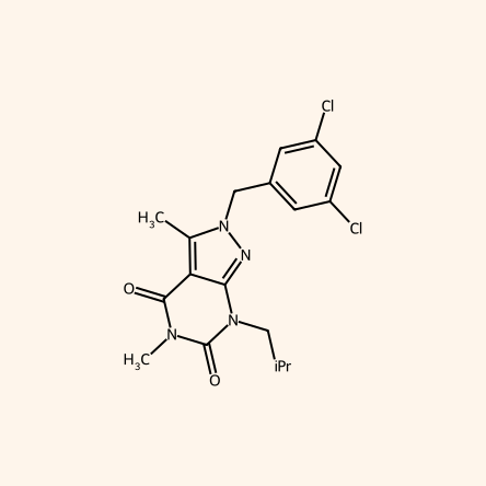 Cc1c2c(=O)n(C)c(=O)n(CC(C)C)c2nn1Cc1cc(Cl)cc(Cl)c1